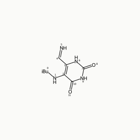 CCC(C)Nc1c(C=N)[nH]c(=O)[nH]c1=O